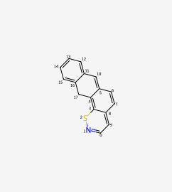 C1=NSc2c3c(ccc2=C1)=Cc1ccccc1C3